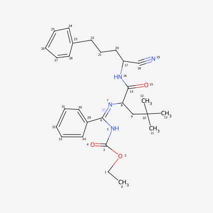 CCOC(=O)N/C(=N\C(CC(C)(C)C)C(=O)NC(C#N)CCCc1ccccc1)c1ccccc1